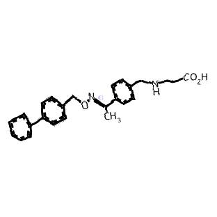 C/C(=N\OCc1ccc(-c2ccccc2)cc1)c1ccc(CNCCC(=O)O)cc1